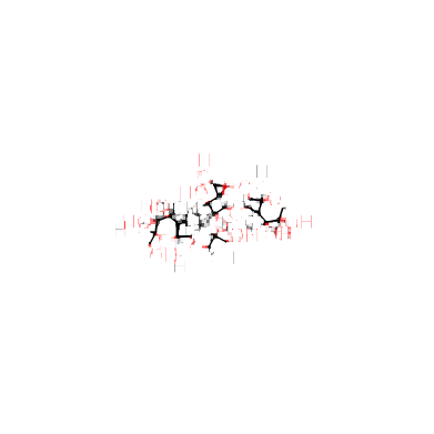 CC(OC[C@@]1(C)OC(C)(CO)[C@@](C)(O)C(C)(O)C1C)C(C)(CO)O[C@](C)(COC[C@]1(C)C(C)(CO)OCC(C)(O)C1(C)O)C(C)(O)C1(C)C[C@H]1O